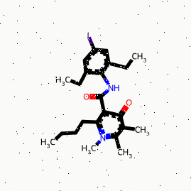 CCCCc1c(C(=O)Nc2c(CC)cc(I)cc2CC)c(=O)c(C)c(C)n1C